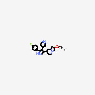 COC1CC2=CC(c3c[nH]c(-c4ccc(F)cc4)c3-c3ccncc3)CCN2C1